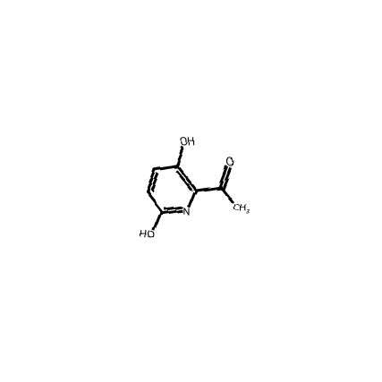 CC(=O)c1nc(O)ccc1O